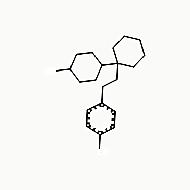 CCCc1ccc(CCC2(C3CCC(CCC)CC3)CCCCC2)cc1